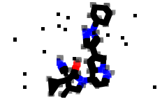 C[C@@H]1CN(c2ccnn3cc(-c4cnn(C5CCCCC5)c4)cc23)C(=O)[C@]1(C#N)C1CC1